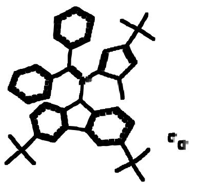 CC1C=C(C(C)(C)C)C=[C]1[Zr+2](=[C](c1ccccc1)c1ccccc1)[CH]1c2ccc(C(C)(C)C)cc2-c2cc(C(C)(C)C)ccc21.[Cl-].[Cl-]